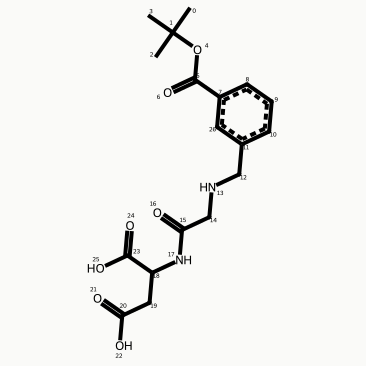 CC(C)(C)OC(=O)c1cccc(CNCC(=O)NC(CC(=O)O)C(=O)O)c1